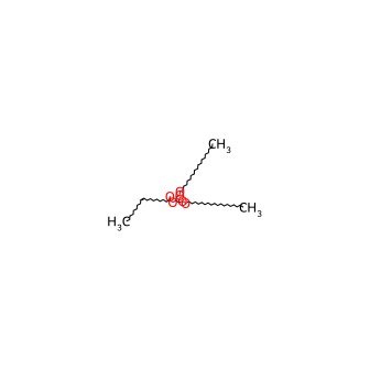 CCCCCCCC/C=C\CCCCCCCC(=O)OC(COOCCCCCCCCCCCCCCCCCC)COOCCCCCCCCCCCCCCCCCC